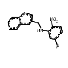 O=[N+]([O-])c1ccc(F)cc1NCc1ccc2ccccc2c1